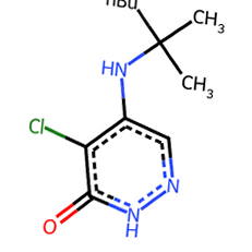 CCCCC(C)(C)Nc1cn[nH]c(=O)c1Cl